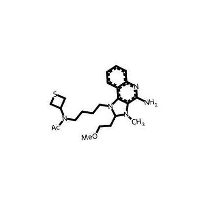 COCCC1N(C)c2c(N)nc3ccccc3c2N1CCCCN(C(C)=O)C1CSC1